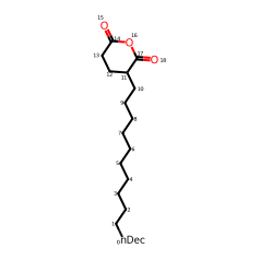 CCCCCCCCCCCCCCCCCCCCC1CCC(=O)OC1=O